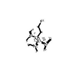 C[N](C)[Sn]([CH2]CF)([N](C)C)[N](C)C